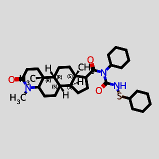 CN1C(=O)CC[C@@]2(C)C1CC[C@@H]1[C@H]2CC[C@]2(C)C(C(=O)N(C(=O)NSC3CCCCC3)C3CCCCC3)CC[C@@H]12